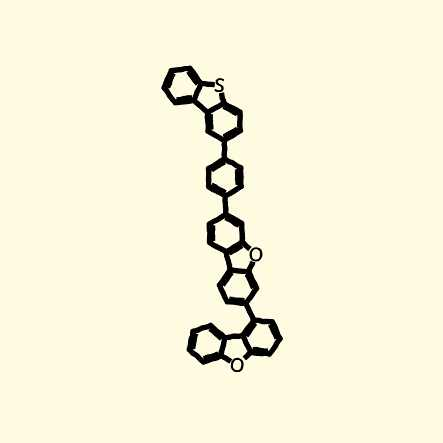 c1ccc2c(c1)oc1cccc(-c3ccc4c(c3)oc3cc(-c5ccc(-c6ccc7sc8ccccc8c7c6)cc5)ccc34)c12